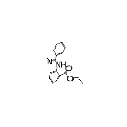 CCOC(=O)c1ccccc1NC(=NC)c1ccccc1